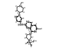 Cc1cc2cnc(Nc3cnn(C4CCN(C)CC4)c3)nc2c(N2CCC3(C2)CC3(F)F)n1